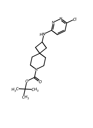 CC(C)(C)OC(=O)N1CCC2(CC1)CC(Nc1ccc(Cl)nn1)C2